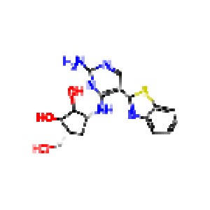 Nc1ncc(-c2nc3ccccc3s2)c(N[C@@H]2C[C@H](CO)[C@@H](O)[C@H]2O)n1